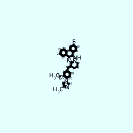 COc1cc(/C=C2\CCCN3NC(c4ccc(F)cc4)C(c4ccccc4)N=C23)ccc1-n1cnc(C)c1